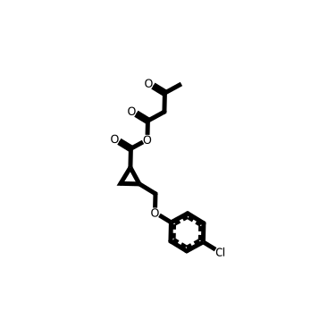 CC(=O)CC(=O)OC(=O)C1CC1COc1ccc(Cl)cc1